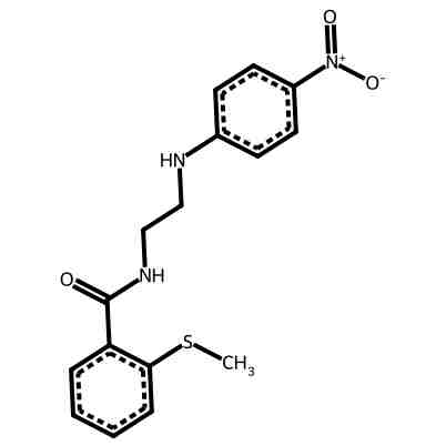 CSc1ccccc1C(=O)NCCNc1ccc([N+](=O)[O-])cc1